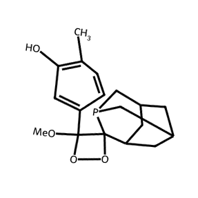 COC1(c2ccc(C)c(O)c2)OOC12C1CC3CC(C1)CP2C3